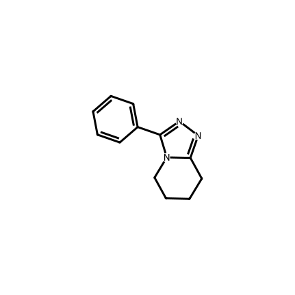 c1ccc(-c2nnc3n2CCCC3)cc1